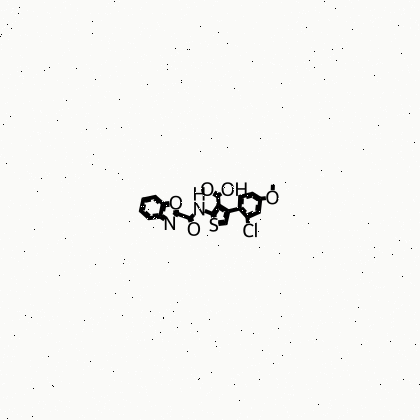 COc1ccc(-c2csc(NC(=O)c3nc4ccccc4o3)c2C(=O)O)c(Cl)c1